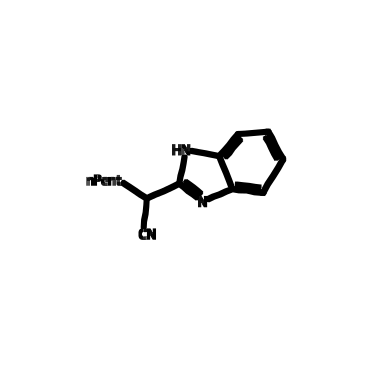 CCCCCC(C#N)c1nc2ccccc2[nH]1